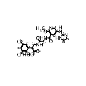 COc1ncc(NC2=NCCN2)cc1C(=O)NCC(=O)NCC(C(=O)O)c1cc(Cl)cc(Cl)c1O